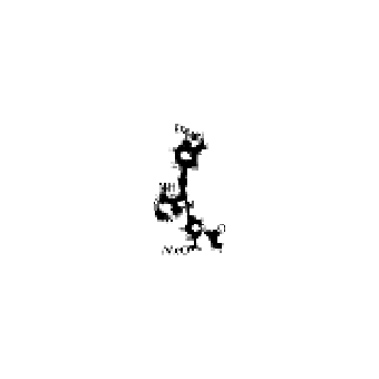 C=CC(=O)N1CC(n2nc(C#Cc3ccc4c(cnn4CC)c3)c3c(N)ncnc32)C[C@@H]1COC